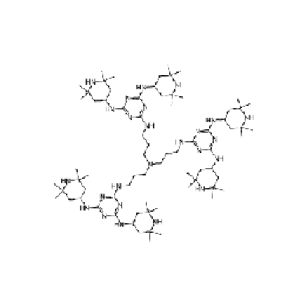 CC1(C)CC(Nc2nc(NCCCN(CCCNc3nc(NC4CC(C)(C)NC(C)(C)C4)nc(NC4CC(C)(C)NC(C)(C)C4)n3)CCCNc3nc(NC4CC(C)(C)NC(C)(C)C4)nc(NC4CC(C)(C)NC(C)(C)C4)n3)nc(NC3CC(C)(C)NC(C)(C)C3)n2)CC(C)(C)N1